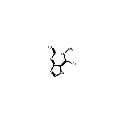 C=C/N=C1/N=CN/C1=C(\C)NC